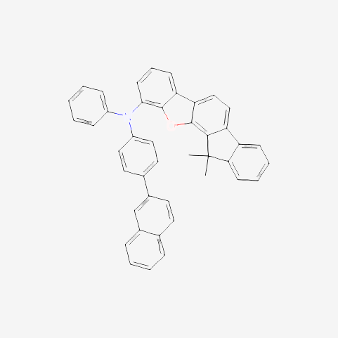 CC1(C)c2ccccc2-c2ccc3c(oc4c(N(c5ccccc5)c5ccc(-c6ccc7ccccc7c6)cc5)cccc43)c21